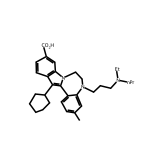 CCCN(CC)CCCN1CCn2c(c(C3CCCCC3)c3ccc(C(=O)O)cc32)-c2ccc(C)cc21